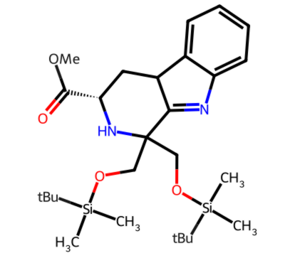 COC(=O)[C@@H]1CC2C(=Nc3ccccc32)C(CO[Si](C)(C)C(C)(C)C)(CO[Si](C)(C)C(C)(C)C)N1